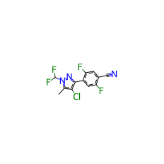 Cc1c(Cl)c(-c2cc(F)c(C#N)cc2F)nn1C(F)F